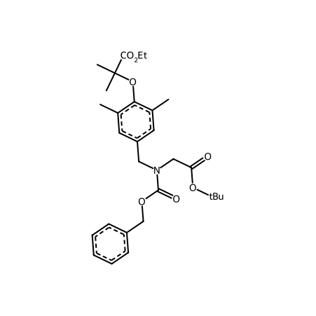 CCOC(=O)C(C)(C)Oc1c(C)cc(CN(CC(=O)OC(C)(C)C)C(=O)OCc2ccccc2)cc1C